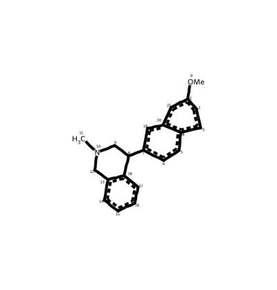 COc1ccc2ccc(C3CN(C)Cc4ccccc43)cc2c1